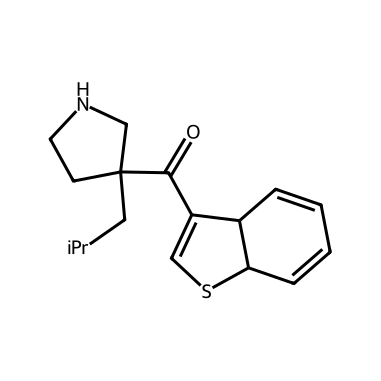 CC(C)CC1(C(=O)C2=CSC3C=CC=CC23)CCNC1